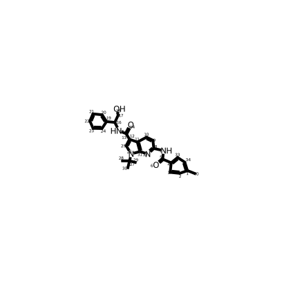 Cc1ccc(C(=O)Nc2ccc3c(C(=O)NC(CO)c4ccccc4)cn(C(C)(C)C)c3n2)cc1